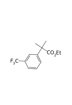 CCOC(=O)C(C)(C)c1cccc(C(F)(F)F)c1